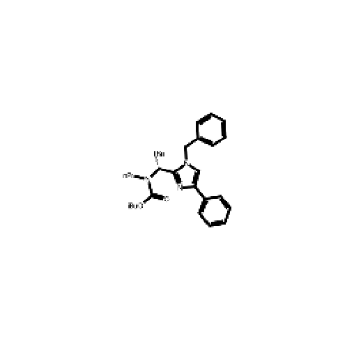 CCCN(C(=O)OCC(C)C)[C@@H](c1nc(-c2ccccc2)cn1Cc1ccccc1)C(C)(C)C